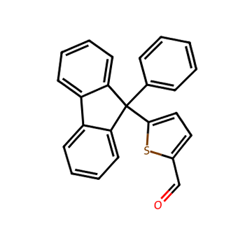 O=Cc1ccc(C2(c3ccccc3)c3ccccc3-c3ccccc32)s1